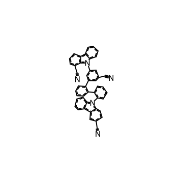 N#Cc1cc(-c2ccccc2-c2ccccc2-n2c3ccccc3c3cc(C#N)ccc32)cc(-n2c3ccccc3c3cccc(C#N)c32)c1